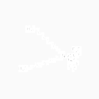 CCCCCCCCCCCCN(CCCCCCCCCCCC)c1cc(C(F)(F)F)cc(C(F)(F)F)c1